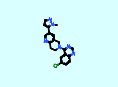 Cn1nccc1-c1cnc2c(c1)CN(c1ncnc3ccc(Cl)cc13)CC2